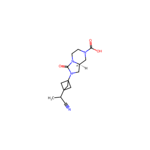 CC(C#N)C12CC(N3C[C@@H]4CN(C(=O)O)CCN4C3=O)(C1)C2